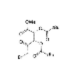 COC(=O)[C@H](OC(=O)C(C)(C)C)[C@H](OC(=O)C(C)(C)C)C(=O)CBr